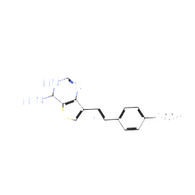 COc1ccc(/C=C/c2csc3c2N=CNC3N)cc1